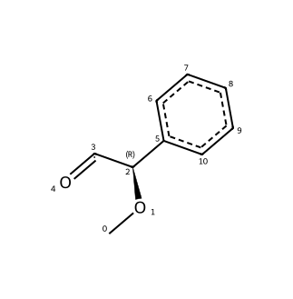 CO[C@@H]([C]=O)c1ccccc1